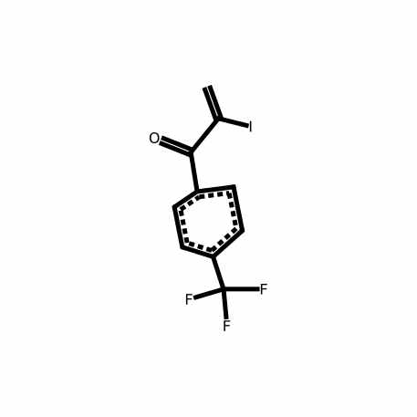 C=C(I)C(=O)c1ccc(C(F)(F)F)cc1